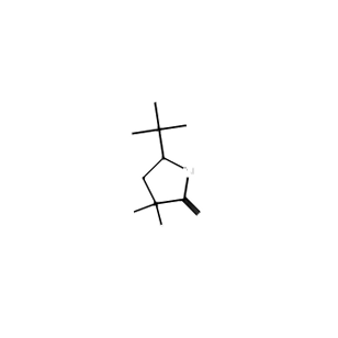 CC(C)(C)C1CC(F)(F)C(=O)N1